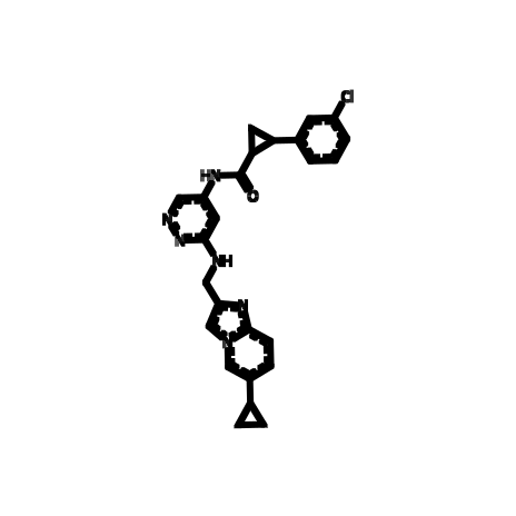 O=C(Nc1cnnc(NCc2cn3cc(C4CC4)ccc3n2)c1)C1CC1c1cccc(Cl)c1